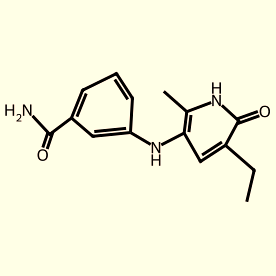 CCc1cc(Nc2cccc(C(N)=O)c2)c(C)[nH]c1=O